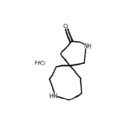 Cl.O=C1CC2(CCCNCC2)CN1